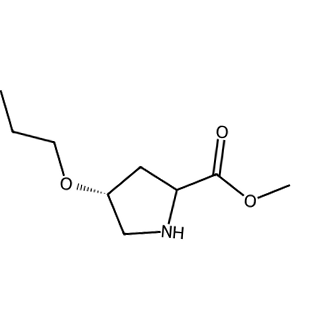 CCCO[C@H]1CNC(C(=O)OC)C1